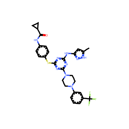 Cc1cc(Nc2nc(Sc3ccc(NC(=O)C4CC4)cc3)nc(N3CCN(c4cccc(C(F)(F)F)c4)CC3)n2)n[nH]1